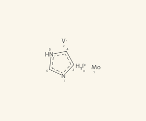 P.[Mo].[V].c1c[nH]cn1